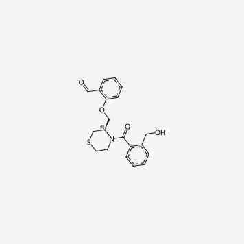 O=Cc1ccccc1OC[C@@H]1CSCCN1C(=O)c1ccccc1CO